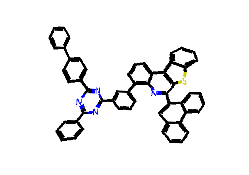 c1ccc(-c2ccc(-c3nc(-c4ccccc4)nc(-c4cccc(-c5cccc6c5nc(-c5cc7ccccc7c7ccccc57)c5sc7ccccc7c56)c4)n3)cc2)cc1